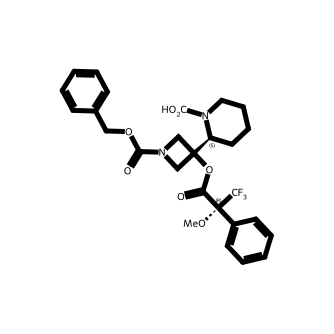 CO[C@@](C(=O)OC1([C@@H]2CCCCN2C(=O)O)CN(C(=O)OCc2ccccc2)C1)(c1ccccc1)C(F)(F)F